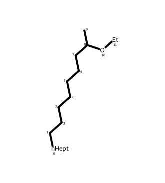 CCCCCCCCCCCCCCC(C)OCC